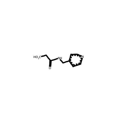 O=C(O)CC(=O)NCc1ccncc1